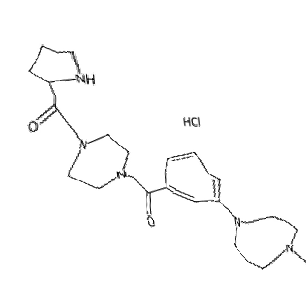 CN1CCN(c2cccc(C(=O)N3CCN(C(=O)C4CCCN4)CC3)c2)CC1.Cl